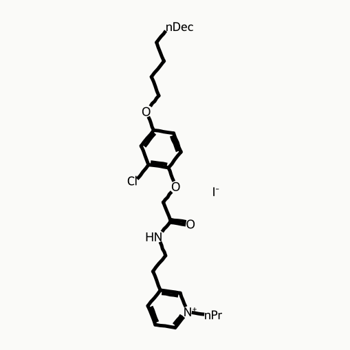 CCCCCCCCCCCCCCOc1ccc(OCC(=O)NCCc2ccc[n+](CCC)c2)c(Cl)c1.[I-]